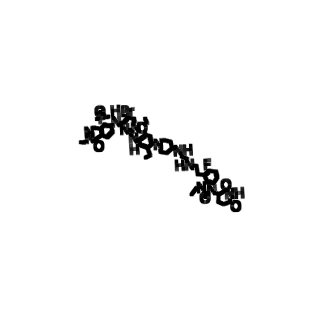 CCOc1cc(N2CCC(NCCNCCc3c(F)ccc4c3n(CC)c(=O)n4C3CCC(=O)NC3=O)CC2)c(CC)cc1Nc1ncc(Br)c(Nc2ccc3c(=O)n(CC)ncc3c2P(C)(C)=O)n1